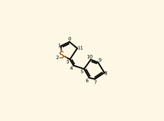 C1=CSC(=Cc2ccccc2)C1